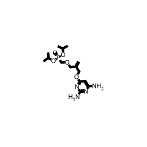 C=C(COCP(=O)(OC(C)C)OC(C)C)COc1cc(N)nc(N)n1